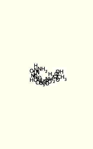 CC(C)(CO)C(=O)SCCOP(N)(=O)OC[C@H]1O[C@@H](n2cnc3c(=O)[nH]c(N)nc32)[C@](C)(O)[C@@H]1O